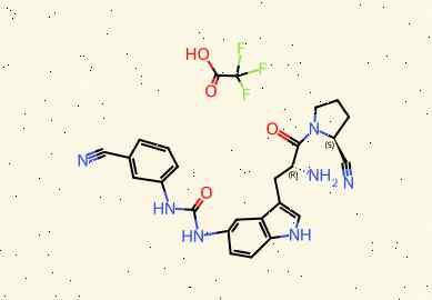 N#Cc1cccc(NC(=O)Nc2ccc3[nH]cc(C[C@@H](N)C(=O)N4CCC[C@H]4C#N)c3c2)c1.O=C(O)C(F)(F)F